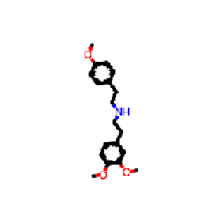 COc1ccc(CCNCCc2ccc(OC)c(OC)c2)cc1